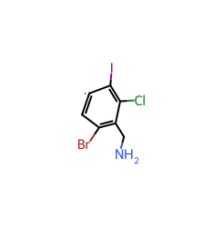 NCc1c(Br)c[c]c(I)c1Cl